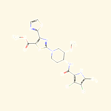 COC(=O)c1sc(N2CC[C@@H](NC(=O)c3[nH]c(C)c(Cl)c3Cl)[C@@H](OC)C2)nc1-c1nccs1